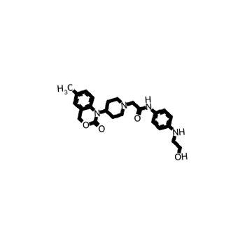 Cc1ccc2c(c1)COC(=O)N2C1CCN(CC(=O)Nc2ccc(NCCO)cc2)CC1